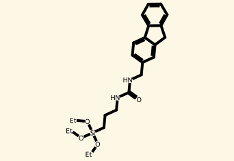 CCO[Si](CCCNC(=O)NCc1ccc2c(c1)Cc1ccccc1-2)(OCC)OCC